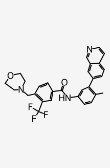 Cc1ccc(NC(=O)c2ccc(CN3CCOCC3)c(C(F)(F)F)c2)cc1-c1ccc2ccncc2c1